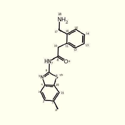 Cc1ccc2nc(NC(=O)Cc3ccccc3CN)sc2c1